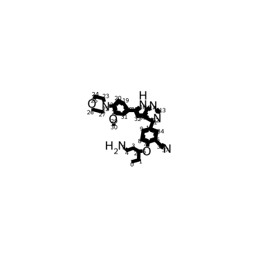 CCC(CCN)Oc1ccc(-c2ncnc3[nH]c(-c4ccc(N5CCOCC5)c(OC)c4)cc23)cc1C#N